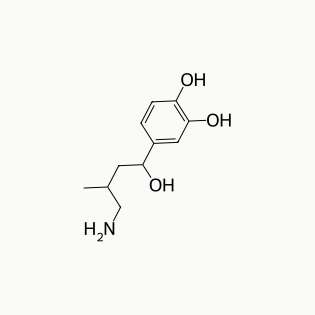 CC(CN)CC(O)c1ccc(O)c(O)c1